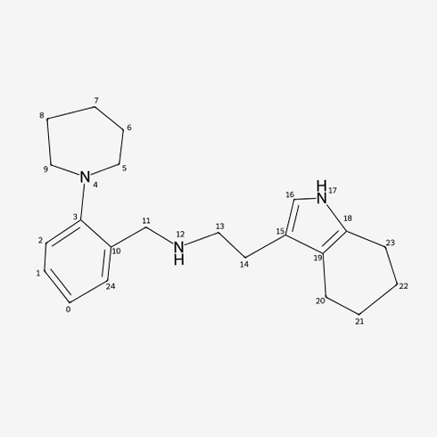 c1ccc(N2CCCCC2)c(CNCCc2c[nH]c3c2CCCC3)c1